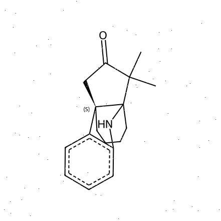 CC1(C)C(=O)C[C@]23CCCCC12Nc1ccccc13